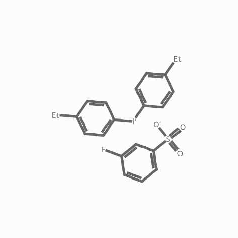 CCc1ccc([I+]c2ccc(CC)cc2)cc1.O=S(=O)([O-])c1cccc(F)c1